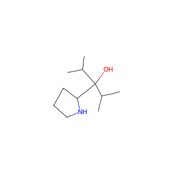 CC(C)C(O)(C(C)C)C1CCCN1